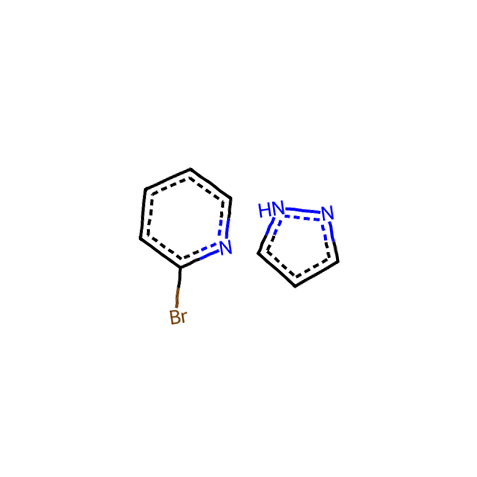 Brc1ccccn1.c1cn[nH]c1